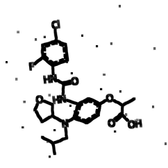 CC(C)CN(c1ccc(OC(C)C(=O)O)cc1NC(=O)Nc1ccc(Cl)cc1F)C1CCOC1